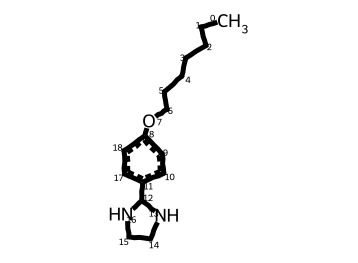 CCCCCCCOc1ccc(C2NCCN2)cc1